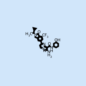 CC(C1CC1)N1Cc2cc(-c3ccn4nc(N)c(C(=O)N[C@H]5CCC[C@@H](O)C5)c4n3)cc(C(F)(F)F)c2C1=O